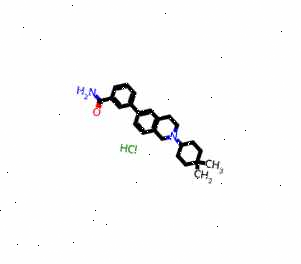 CC1(C)CCC(N2CCc3cc(-c4cccc(C(N)=O)c4)ccc3C2)CC1.Cl